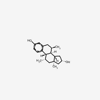 C[C@@H]1Cc2cc(O)ccc2[C@@H]2[C@@H]1[C@@H]1C[C@H](O)C[C@@]1(C)C[C@@H]2C